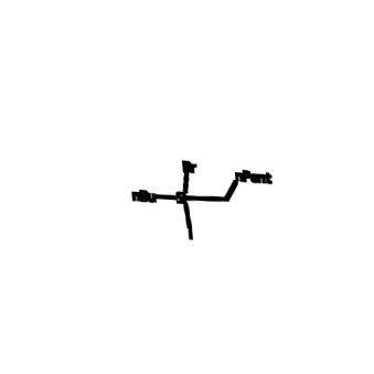 CCCCCC[Si](Br)(I)CCCC